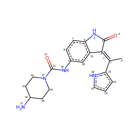 C/C(=C1\C(=O)Nc2ccc(NC(=O)N3CCC(N)CC3)cc21)c1ccc[nH]1